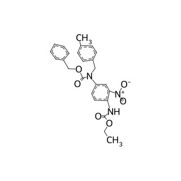 CCOC(=O)Nc1ccc(N(Cc2ccc(C)cc2)C(=O)OCc2ccccc2)cc1[N+](=O)[O-]